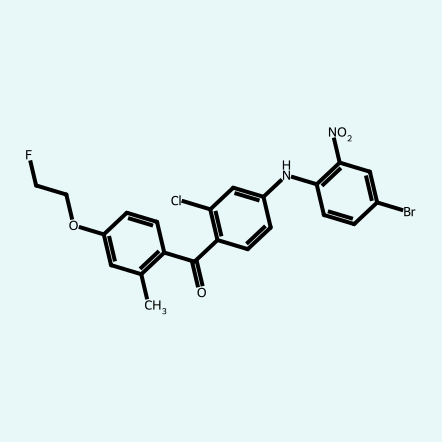 Cc1cc(OCCF)ccc1C(=O)c1ccc(Nc2ccc(Br)cc2[N+](=O)[O-])cc1Cl